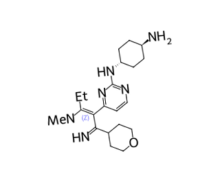 CC/C(NC)=C(/C(=N)C1CCOCC1)c1ccnc(N[C@H]2CC[C@H](N)CC2)n1